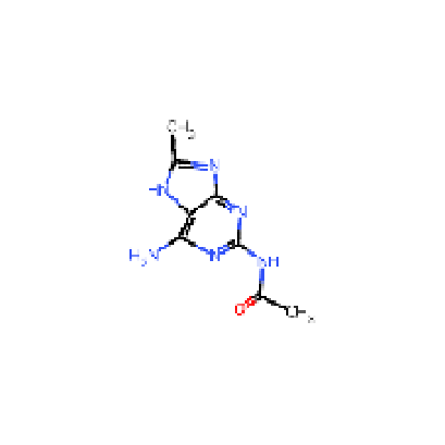 CC(=O)Nc1nc(N)c2[nH]c(C)nc2n1